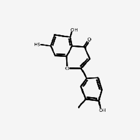 Cc1cc(-c2cc(=O)c3c(O)cc(S)cc3o2)ccc1O